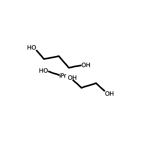 CC(C)O.OCCCO.OCCO